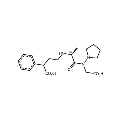 CCOC(=O)C(CCN[C@@H](C)C(=O)N(CC(=O)O)N1CCCC1)c1ccccc1